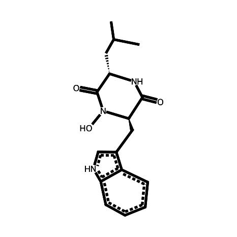 CC(C)C[C@@H]1NC(=O)[C@@H](Cc2c[nH]c3ccccc23)N(O)C1=O